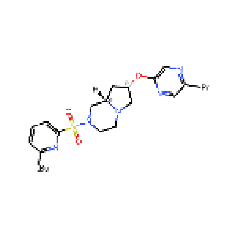 CC(C)c1cnc(O[C@H]2C[C@H]3CN(S(=O)(=O)c4cccc(C(C)(C)C)n4)CCN3C2)cn1